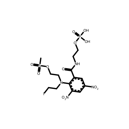 CS(=O)(=O)OCCN(CCI)c1c(C(=O)NCCOP(=O)(O)O)cc([N+](=O)[O-])cc1[N+](=O)[O-]